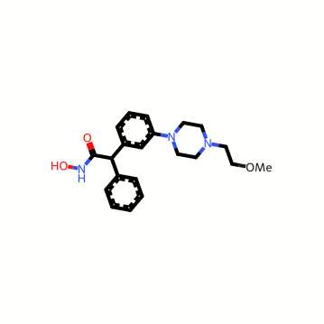 COCCN1CCN(c2cccc(C(C(=O)NO)c3ccccc3)c2)CC1